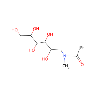 CC(C)C(=O)N(C)CC(O)C(O)C(O)C(O)CO